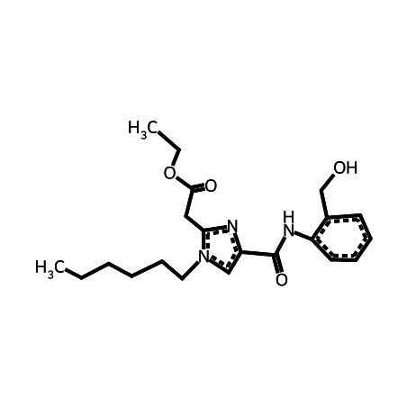 CCCCCCn1cc(C(=O)Nc2ccccc2CO)nc1CC(=O)OCC